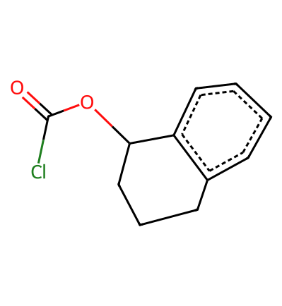 O=C(Cl)OC1CCCc2ccccc21